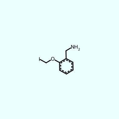 NCc1ccccc1OCI